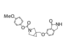 COc1ccc(OC(=O)N2CC3CC3(COc3ccc4c(c3)C(=O)NC4)C2)cc1